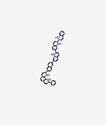 C1=CC2=CC=C(c3ccc4c(c3)NC(C3C=Cc5ccccc5N3)C=C4)NC2C=C1c1ccc2cc(C3C=Cc4ccc5c(c4N3)NC(c3ccccc3)C=C5)ccc2c1